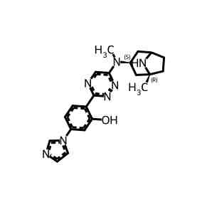 CN(c1cnc(-c2ccc(-n3ccnc3)cc2O)nn1)[C@H]1CC2CC[C@](C)(C1)N2